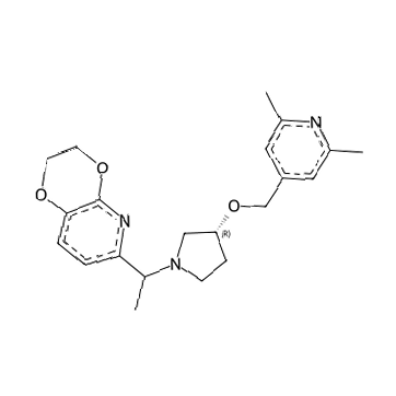 Cc1cc(CO[C@@H]2CCN(C(C)c3ccc4c(n3)OCCO4)C2)cc(C)n1